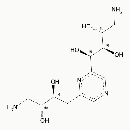 NC[C@@H](O)[C@@H](O)[C@H](O)c1cncc(C[C@H](O)[C@H](O)CN)n1